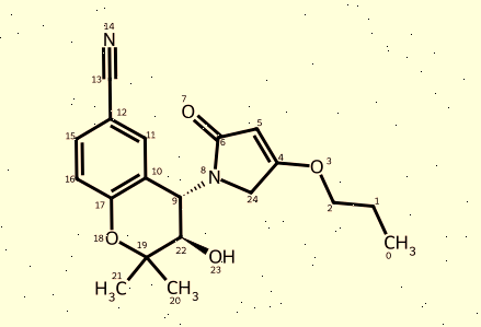 CCCOC1=CC(=O)N([C@H]2c3cc(C#N)ccc3OC(C)(C)[C@@H]2O)C1